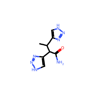 CC(c1c[nH]nn1)C(C(N)=O)c1c[nH]nn1